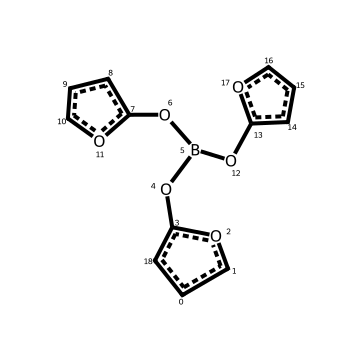 c1coc(OB(Oc2ccco2)Oc2ccco2)c1